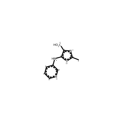 Cc1nc(C(=O)O)c(Nc2cccnc2)s1